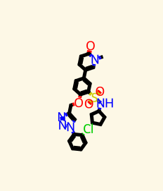 Cn1cc(-c2ccc(OCc3cn(-c4ccccc4Cl)nn3)c(S(=O)(=O)NC3CCCC3)c2)ccc1=O